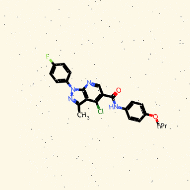 CCCOc1ccc(NC(=O)c2cnc3c(c(C)nn3-c3ccc(F)cc3)c2Cl)cc1